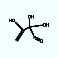 C=C(O)C(O)(O)P=O